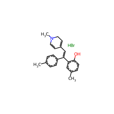 Br.Cc1ccc(/C(=C\C2=CCN(C)C=C2)c2cc(C)ccc2O)cc1